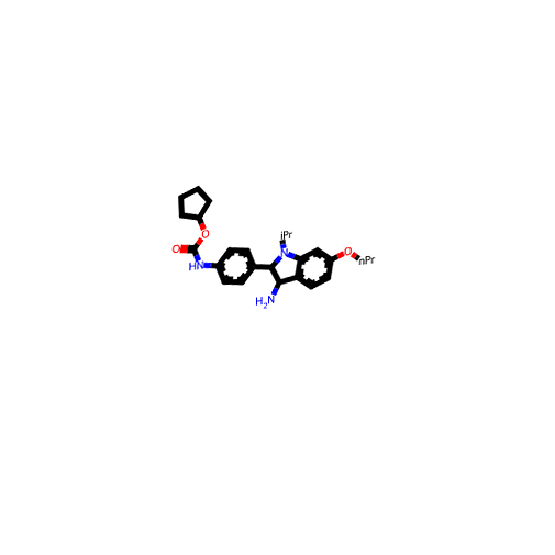 CCCOc1ccc2c(c1)N(C(C)C)C(c1ccc(NC(=O)OC3CCCC3)cc1)C2N